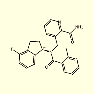 Cc1ncccc1C(=O)N(Cc1cccnc1C(N)=O)[C@@H]1CCc2c(F)cccc21